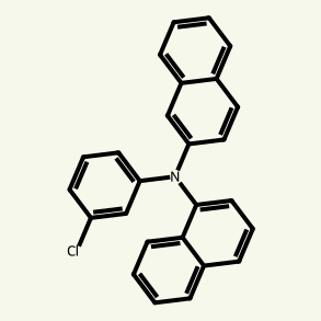 Clc1cccc(N(c2ccc3ccccc3c2)c2cccc3ccccc23)c1